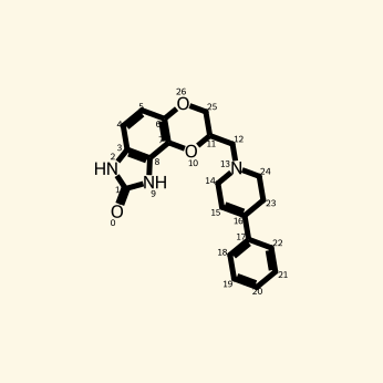 O=c1[nH]c2ccc3c(c2[nH]1)OC(CN1CC=C(c2ccccc2)CC1)CO3